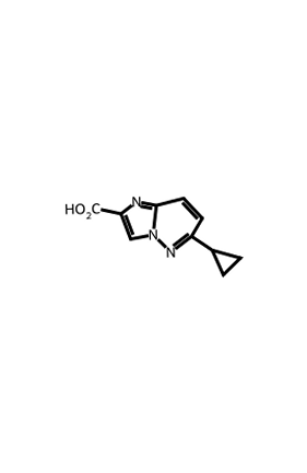 O=C(O)c1cn2nc(C3CC3)ccc2n1